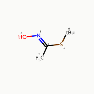 CC(C)(C)SC(=NO)C(F)(F)F